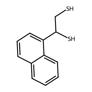 SCC(S)c1cccc2ccccc12